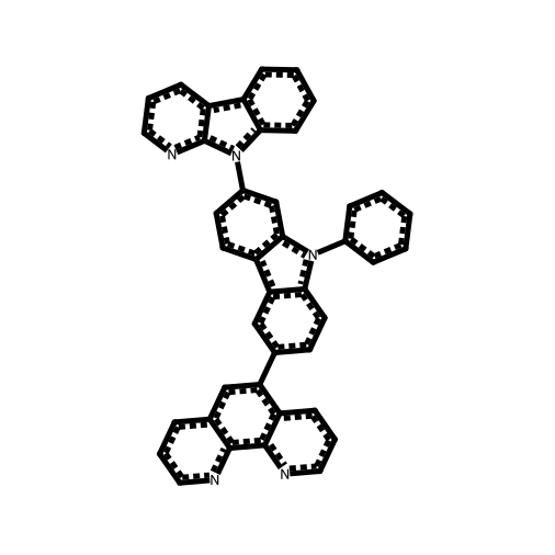 c1ccc(-n2c3ccc(-c4cc5cccnc5c5ncccc45)cc3c3ccc(-n4c5ccccc5c5cccnc54)cc32)cc1